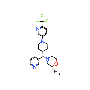 CC1CN(C(c2cccnc2)C2CCN(c3ccc(C(F)(F)F)nc3)CC2)CCO1